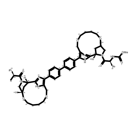 COC(=O)N[C@H](C(=O)N1C[C@@H]2C[C@H]1c1nc(c(-c3ccc(-c4ccc(-c5nc6[nH]c5COCCCCO[C@H]5C[C@@H]6N(C(=O)[C@@H](C)C(C)C)C5)cc4)cc3)[nH]1)COCCCCO2)C(C)C